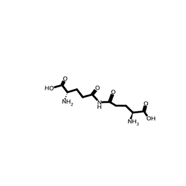 N[C@@H](CCC(=O)NC(=O)CC[C@H](N)C(=O)O)C(=O)O